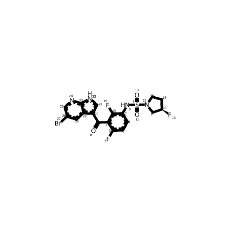 O=C(c1c(F)ccc(NS(=O)(=O)N2CC[C@@H](F)C2)c1F)c1c[nH]c2ncc(Br)cc12